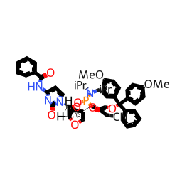 COc1ccc(C(OC=CC[C@@]23CO[C@@H]([C@H](n4ccc(NC(=O)c5ccccc5)nc4=O)O2)[C@@H]3OP(OCCC#N)N(C(C)C)C(C)C)(c2ccccc2)c2ccc(OC)cc2)cc1